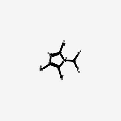 FC(F)n1c(Br)nc(Br)c1Br